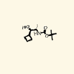 C[C@H](NC(=O)OC(C)(C)C)C(O)C1CCC1